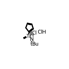 Cl.Cl.[CH2]=[Ti]([NH]C(C)(C)C)[C]1=CC=CC1